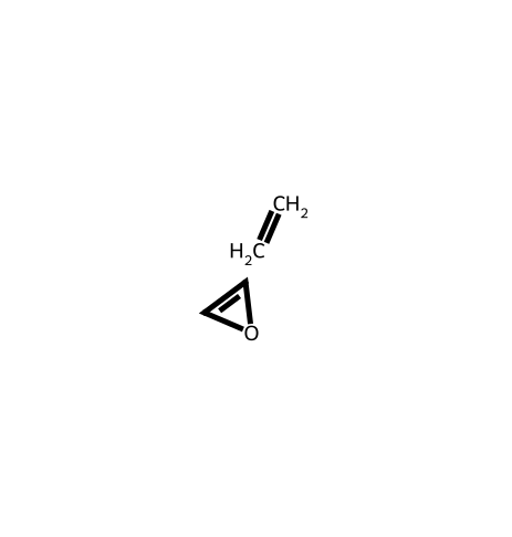 C1=CO1.C=C